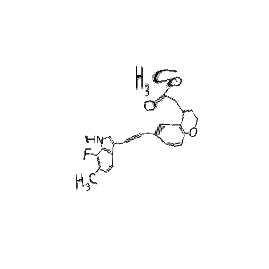 COC(=O)C1CCOc2ccc(C#Cc3c[nH]c4c(F)c(C)ccc34)cc21